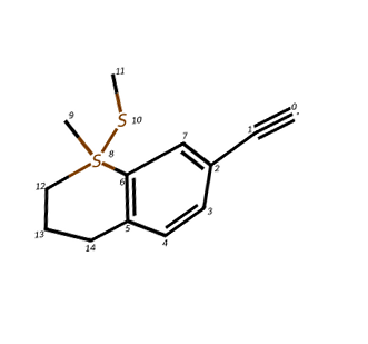 [C]#Cc1ccc2c(c1)S(C)(SC)CCC2